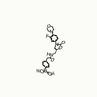 O=C(Cc1ccc(B(O)O)cc1)NC[C@H]1CN(c2ccc(N3CCOCC3)c(F)c2)C(=O)O1